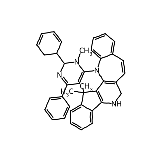 CN1C(N2C3=C(C=Cc4ccccc42)CNC2=C3C(C)(C)c3ccccc32)=CC(c2ccccc2)=NC1C1C=CC=CC1